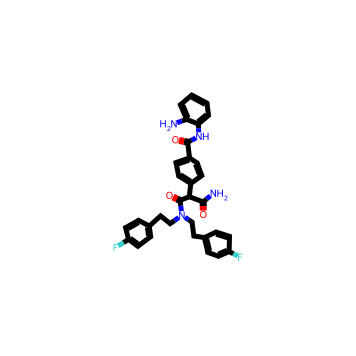 NC(=O)C(C(=O)N(CCc1ccc(F)cc1)CCc1ccc(F)cc1)c1ccc(C(=O)Nc2ccccc2N)cc1